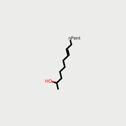 CCCCCCC=CCCCCC(C)O